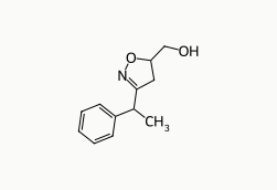 CC(C1=NOC(CO)C1)c1ccccc1